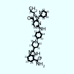 C=CCn1c(=O)c2cnc(Nc3ccc(N4CCC(c5nc6cccc(C(N)=O)c6[nH]5)CC4)cc3)nc2n1-c1ccccn1